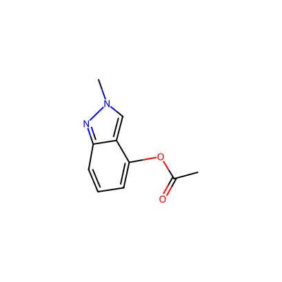 CC(=O)Oc1cccc2nn(C)cc12